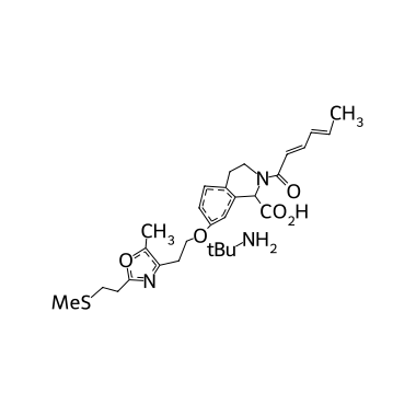 CC(C)(C)N.CC=CC=CC(=O)N1CCc2ccc(OCCc3nc(CCSC)oc3C)cc2C1C(=O)O